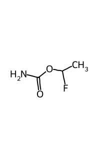 CC(F)OC(N)=O